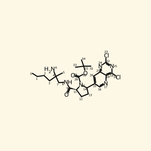 CCCCC(C)(N)CNC(=O)[C@@H]1CCC(c2cnc3c(Cl)nc(Cl)nc3c2)N1C(=O)OC(C)(C)C